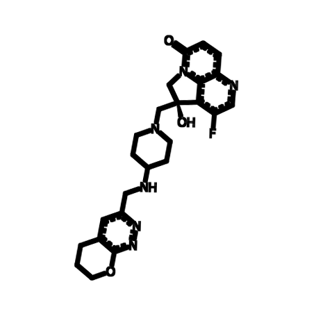 O=c1ccc2ncc(F)c3c2n1C[C@@]3(O)CN1CCC(NCc2cc3c(nn2)OCCC3)CC1